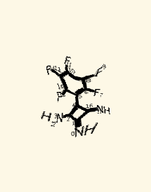 N=c1c(N)c(-c2c(F)c(F)c(F)c(F)c2F)c1=N